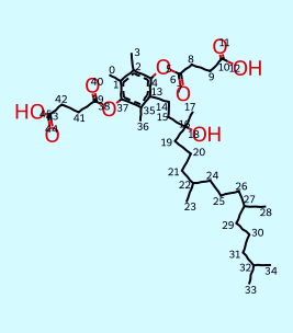 Cc1c(C)c(OC(=O)CCC(=O)O)c(CCC(C)(O)CCCC(C)CCCC(C)CCCC(C)C)c(C)c1OC(=O)CCC(=O)O